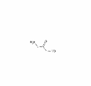 O=NCC(=O)CP